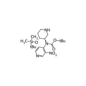 CC(C)(C)OC(=O)N(c1ccncc1[N+](=O)[O-])[C@@H]1CNCC[C@H]1O[Si](C)(C)C(C)(C)C